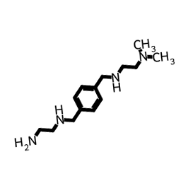 CN(C)CCNCc1ccc(CNCCN)cc1